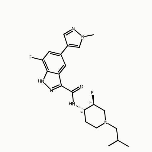 CC(C)CN1CC[C@H](NC(=O)c2n[nH]c3c(F)cc(-c4cnn(C)c4)cc23)[C@@H](F)C1